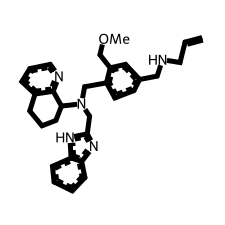 C=CCNCc1ccc(CN(Cc2nc3ccccc3[nH]2)C2CCCc3cccnc32)c(COC)c1